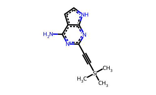 C[Si](C)(C)C#Cc1nc(N)c2cc[nH]c2n1